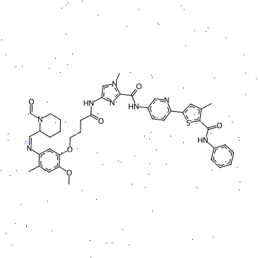 COc1cc(C)c(/N=C\C2CCCCN2C=O)cc1OCCCC(=O)Nc1cn(C)c(C(=O)Nc2ccc(-c3cc(C)c(C(=O)Nc4ccccc4)s3)nc2)n1